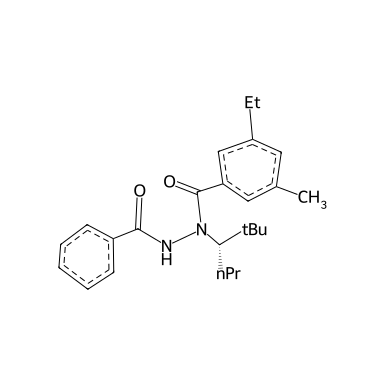 CCC[C@H](N(NC(=O)c1ccccc1)C(=O)c1cc(C)cc(CC)c1)C(C)(C)C